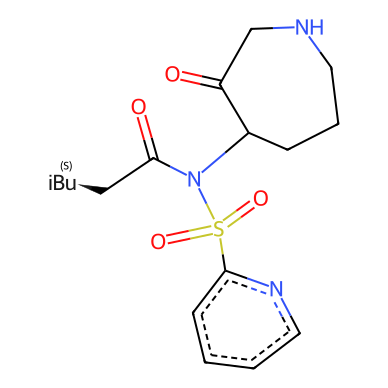 [CH2]C[C@H](C)CC(=O)N(C1CCCNCC1=O)S(=O)(=O)c1ccccn1